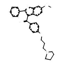 COc1ccc2c(C(=O)c3ccc(OCCCN4CCCC4)cc3)c(-c3ccccc3)sc2c1